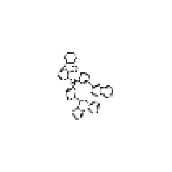 c1cc(-c2ccc3ccccc3c2)cc(N(c2cccc(-c3cc4ccccc4c4ccccc34)c2)c2cccc3c2oc2ccccc23)c1